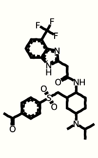 CC(=O)c1ccc(S(=O)(=O)CC2CC(N(C)C(C)C)CCC2NC(=O)Cc2nc3c(C(F)(F)F)cccc3[nH]2)cc1